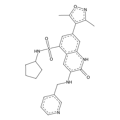 Cc1noc(C)c1-c1cc(S(=O)(=O)NC2CCCC2)c2cc(NCc3cccnc3)c(=O)[nH]c2c1